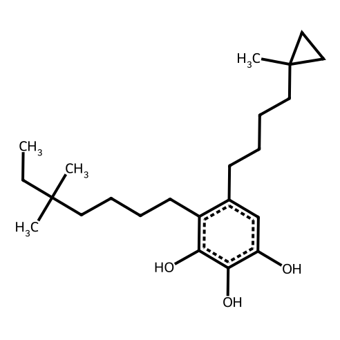 CCC(C)(C)CCCCc1c(CCCCC2(C)CC2)cc(O)c(O)c1O